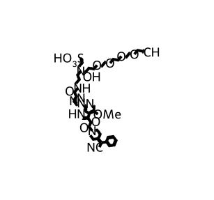 C#CCOCCOCCOCCOCCC(O)N(CCCNC(=O)c1ncn(-c2ncc(OC)c3c(C(=O)C(=O)N4CCC(=C(C#N)c5ccccc5)CC4)c[nH]c23)n1)CCS(=O)(=O)O